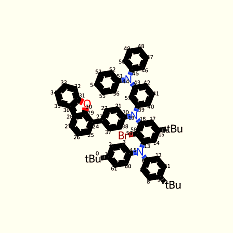 CC(C)(C)c1ccc(N(c2ccc(C(C)(C)C)cc2)c2cc(C(C)(C)C)cc(N(c3ccc(-c4cccc5c4oc4ccccc45)cc3)c3cccc(N(c4ccccc4)c4ccccc4)c3)c2Br)cc1